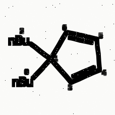 CCCCC1(CCCC)C=CC=C1